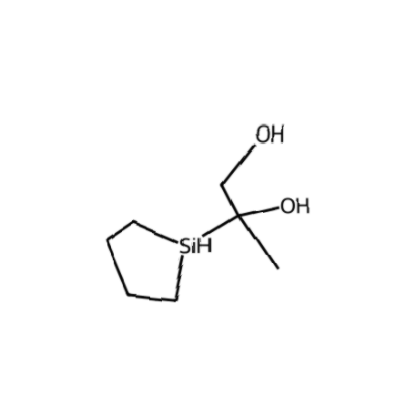 CC(O)(CO)[SiH]1CCCC1